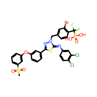 CS(=O)(=O)c1cccc(Oc2cccc(-c3nn(Cc4ccc(C(F)(F)P(=O)(O)O)c(Br)c4)c(=Nc4ccc(Cl)c(Cl)c4)s3)c2)c1